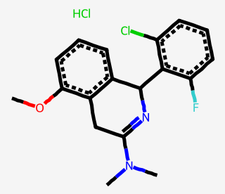 COc1cccc2c1CC(N(C)C)=NC2c1c(F)cccc1Cl.Cl